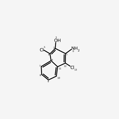 Nc1c(O)c(Cl)c2ccccc2c1Cl